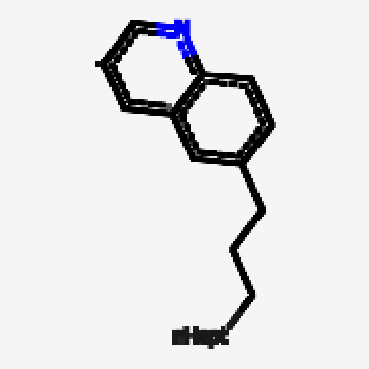 CCCCCCCCCCc1ccc2nc[c]cc2c1